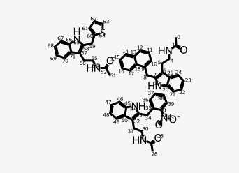 CC(=O)NCCc1c(Cc2cccc3ccccc23)[nH]c2ccccc12.CC(=O)NCCc1c(Cc2ccccc2[N+](=O)[O-])[nH]c2ccccc12.CC(=O)NCCc1c(Cc2cccs2)[nH]c2ccccc12